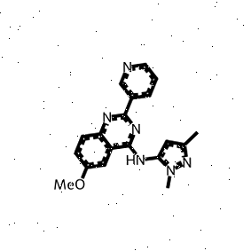 COc1ccc2nc(-c3cccnc3)nc(Nc3cc(C)nn3C)c2c1